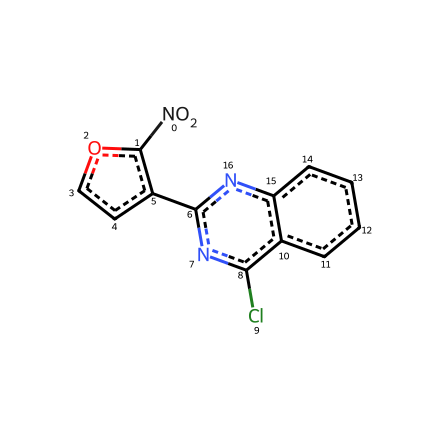 O=[N+]([O-])c1occc1-c1nc(Cl)c2ccccc2n1